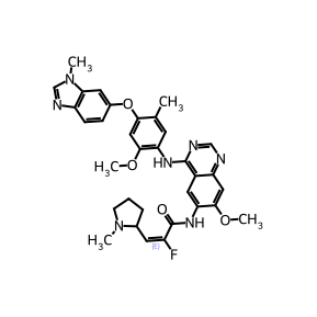 COc1cc2ncnc(Nc3cc(C)c(Oc4ccc5ncn(C)c5c4)cc3OC)c2cc1NC(=O)/C(F)=C\C1CCCN1C